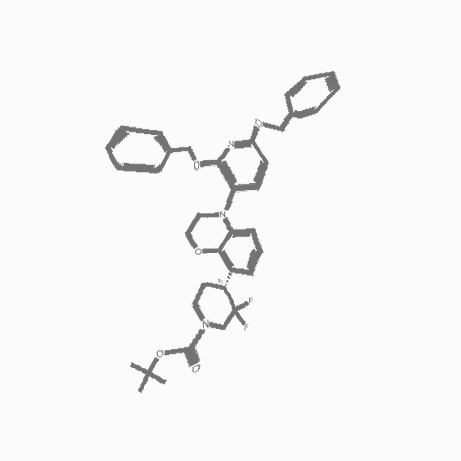 CC(C)(C)OC(=O)N1CC[C@H](c2cccc3c2OCCN3c2ccc(OCc3ccccc3)nc2OCc2ccccc2)C(F)(F)C1